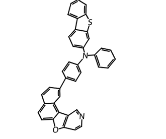 c1ccc(N(c2ccc(-c3ccc4ccc5oc6ccncc6c5c4c3)cc2)c2ccc3c(c2)sc2ccccc23)cc1